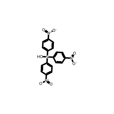 O=[N+]([O-])c1ccc([Si](O)(c2ccc([N+](=O)[O-])cc2)c2ccc([N+](=O)[O-])cc2)cc1